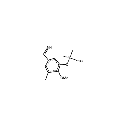 COc1c(C)cc(C=N)cc1O[Si](C)(C)C(C)(C)C